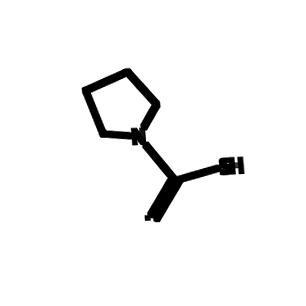 [CH]=C(S)N1CCCC1